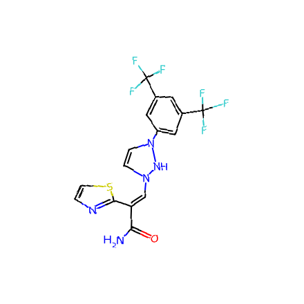 NC(=O)C(=CN1C=CN(c2cc(C(F)(F)F)cc(C(F)(F)F)c2)N1)c1nccs1